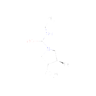 CC[C@@H]1CN(C(O)NCC(F)(F)F)CC1C(=O)O